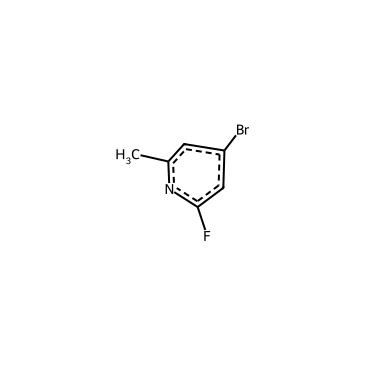 Cc1cc(Br)cc(F)n1